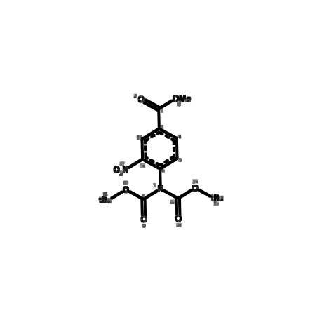 COC(=O)c1ccc(N(C(=O)OC(C)(C)C)C(=O)OC(C)(C)C)c([N+](=O)[O-])c1